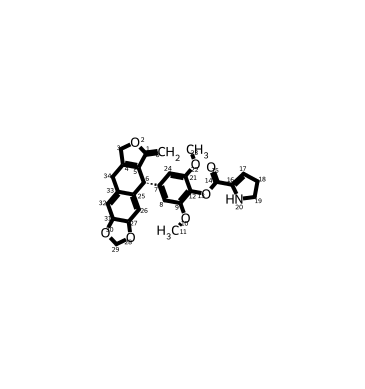 C=C1OCC2=C1[C@H](c1cc(OC)c(OC(=O)C3=CCCN3)c(OC)c1)C1=CC3OCOC3C=C1C2